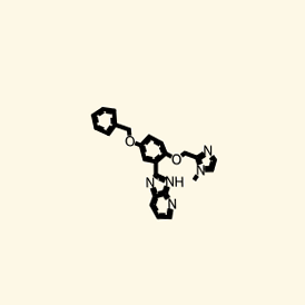 Cn1ccnc1COc1ccc(OCc2ccccc2)cc1-c1nc2cccnc2[nH]1